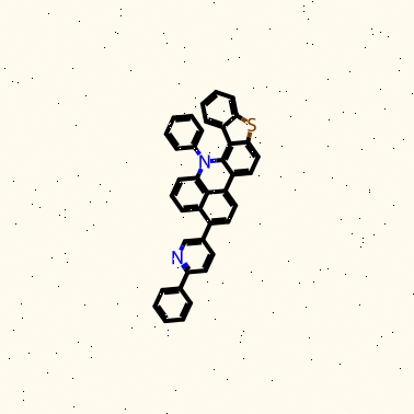 c1ccc(-c2ccc(-c3ccc4c5c(cccc35)N(c3ccccc3)c3c-4ccc4sc5ccccc5c34)cn2)cc1